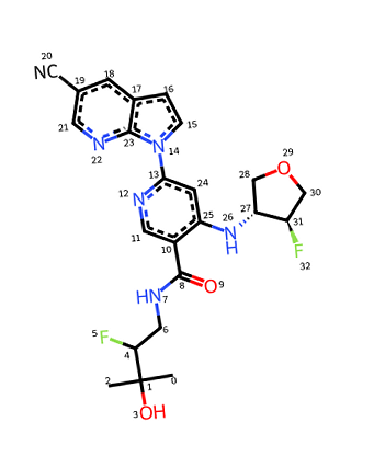 CC(C)(O)C(F)CNC(=O)c1cnc(-n2ccc3cc(C#N)cnc32)cc1N[C@@H]1COC[C@H]1F